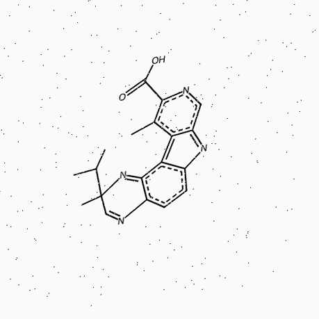 Cc1c(C(=O)O)ncc2c1=c1c(ccc3c1=NC(C)(C(C)C)C=N3)N=2